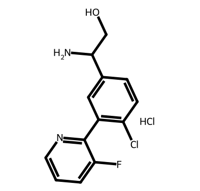 Cl.NC(CO)c1ccc(Cl)c(-c2ncccc2F)c1